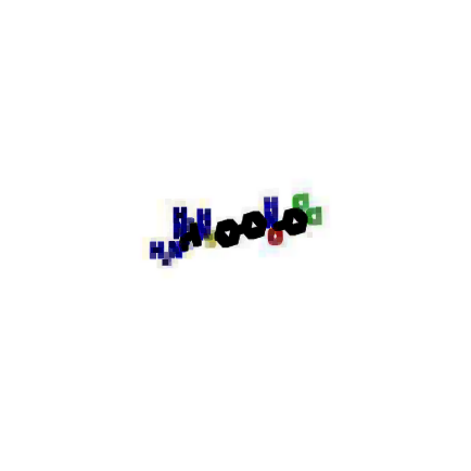 CC(C)(NSc1ccc(-c2ccc(NC(=O)c3ccc(Cl)c(Cl)c3)cc2)cc1)/C(N)=C/N